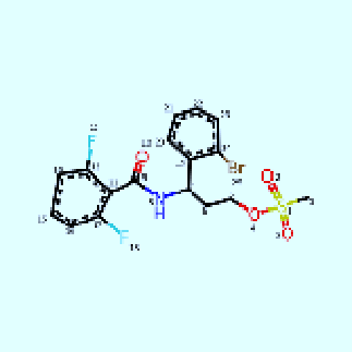 CS(=O)(=O)OCCC(NC(=O)c1c(F)cccc1F)c1ccccc1Br